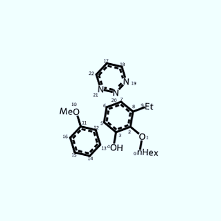 CCCCCCOc1c(O)cccc1CC.COc1ccccc1.c1cnnnc1